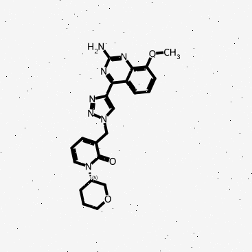 COc1cccc2c(-c3cn(Cc4cccn([C@H]5CCCOC5)c4=O)nn3)nc(N)nc12